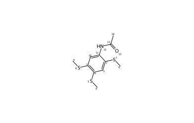 CSc1cc(SC)c(SC)cc1NC(C)=O